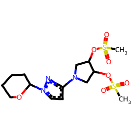 CS(=O)(=O)OC1CN(c2ccn(C3CCCCO3)n2)CC1OS(C)(=O)=O